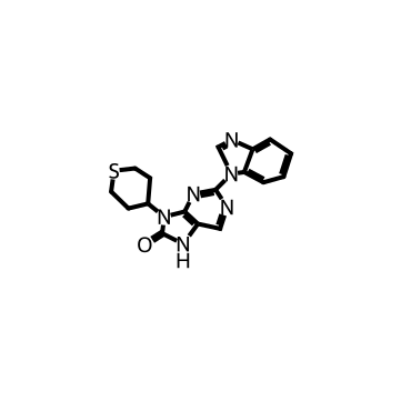 O=c1[nH]c2cnc(-n3cnc4ccccc43)nc2n1C1CCSCC1